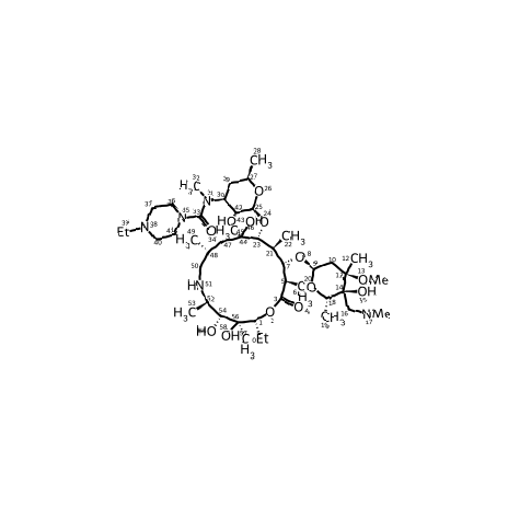 CC[C@H]1OC(=O)[C@H](C)[C@@H](O[C@H]2C[C@@](C)(OC)[C@](O)(CNC)[C@H](C)O2)[C@H](C)[C@@H](O[C@@H]2O[C@H](C)C[C@H](N(C)C(=O)N3CCN(CC)CC3)[C@H]2O)[C@](C)(O)C[C@@H](C)CN[C@H](C)[C@@H](O)[C@]1(C)O